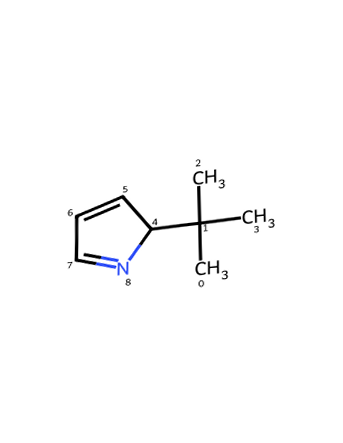 CC(C)(C)C1C=CC=N1